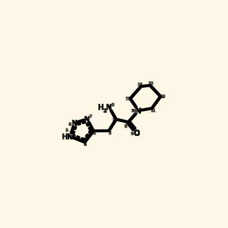 NC(Cc1c[nH]nn1)C(=O)N1CCCCC1